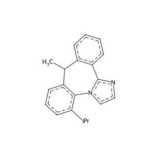 CC(C)c1cccc2c1-n1ccnc1-c1ccccc1C2C